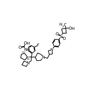 CC1(O)CC(S(=O)(=O)c2ccc(N3CC(CN4CCC(C(CN5CCC5)(c5cccc(F)c5)[C@H]5CCC[C@@H]5NC(=O)O)CC4)C3)cc2)C1